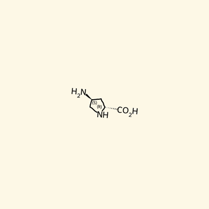 N[C@@H]1CN[C@@H](C(=O)O)C1